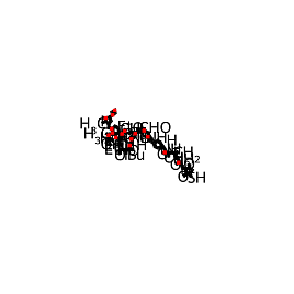 C=C(CNC(=O)CCN1C(=O)CC(S)C1=O)NC(C)C(=O)Nc1ccc(CNC(=O)CC(C=O)NC(=O)C(CS/C(C)=C(\CC(NCC(CCC2CC(C3CCC3)CN2C)C(C)C(O)CO)C(=O)CC)c2ccccc2CC)NC(=O)CNC(=O)C(NC(=O)CC)C(C)CC)cc1